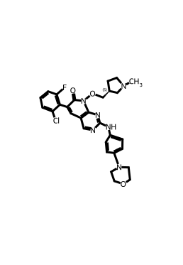 CN1CC[C@H](COn2c(=O)c(-c3c(F)cccc3Cl)cc3cnc(Nc4ccc(N5CCOCC5)cc4)nc32)C1